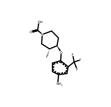 Nc1ccc(O[C@@H]2CCN(C(=O)O)C[C@H]2F)c(C(F)(F)F)c1